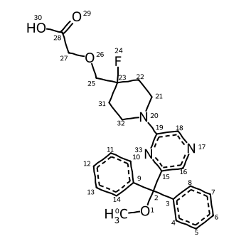 COC(c1ccccc1)(c1ccccc1)c1cncc(N2CCC(F)(COCC(=O)O)CC2)n1